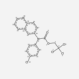 O=C(OCC(Cl)(Cl)Cl)N(c1ccc(Cl)cc1)c1ccc2ncccc2c1